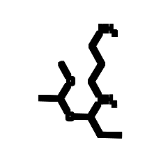 CCC(OC(C)OC)[SiH2]CCCN